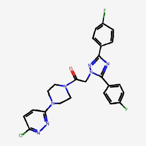 O=C(Cn1nc(-c2ccc(F)cc2)nc1-c1ccc(F)cc1)N1CCN(c2ccc(Cl)nn2)CC1